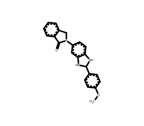 COc1ccc(C2Nc3ccc(N4Cc5ccccc5C4=O)cc3N2)cc1